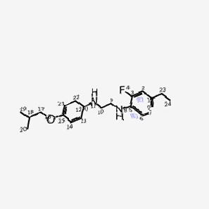 C=C(/C=C(F)\C(=C/C)NCCN[C@H]1C=CC(OCC(C)C)=CC1)CC